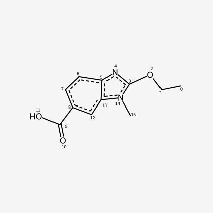 CCOc1nc2ccc(C(=O)O)cc2n1C